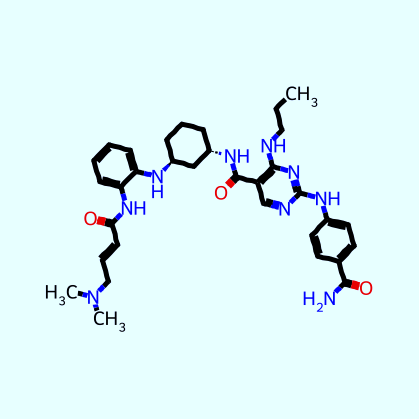 CCCNc1nc(Nc2ccc(C(N)=O)cc2)ncc1C(=O)N[C@H]1CCC[C@H](Nc2ccccc2NC(=O)/C=C/CN(C)C)C1